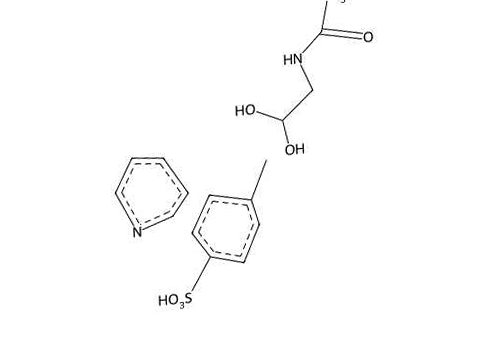 Cc1ccc(S(=O)(=O)O)cc1.O=C(NCC(O)O)C(F)(F)F.c1ccncc1